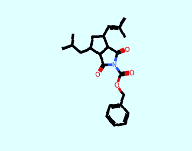 CC(C)=CC1CC(CC(C)C)C2C(=O)N(C(=O)OCc3ccccc3)C(=O)C12